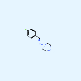 CC(=O)N1CCN(/N=C/c2ccc(F)cc2)CC1